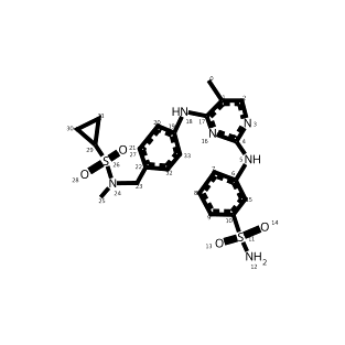 Cc1cnc(Nc2cccc(S(N)(=O)=O)c2)nc1Nc1ccc(CN(C)S(=O)(=O)C2CC2)cc1